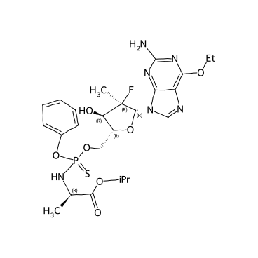 CCOc1nc(N)nc2c1ncn2[C@@H]1O[C@H](COP(=S)(N[C@H](C)C(=O)OC(C)C)Oc2ccccc2)[C@@H](O)[C@@]1(C)F